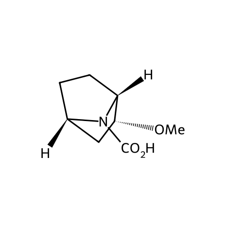 CO[C@@H]1C[C@@H]2CC[C@H]1N2C(=O)O